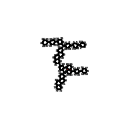 c1ccc(-c2ccc(-c3ccc(N(c4cccc(-c5ccc(-c6ccccc6)cc5)c4)c4ccc5c(ccc6c7cc(-c8ccc(N(c9ccc(-c%10ccc(-c%11ccccc%11)cc%10)cc9)c9ccc%10c(ccc%11c%12ccccc%12ccc%10%11)c9)c(-c9ccccc9)c8)ccc7ccc56)c4)cc3)cc2)cc1